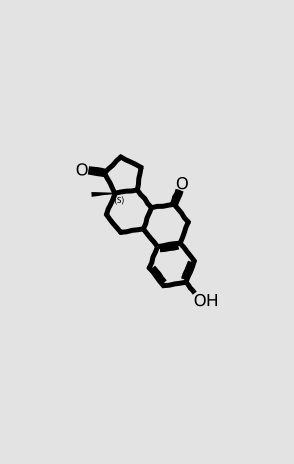 C[C@]12CCC3c4ccc(O)cc4CC(=O)C3C1CCC2=O